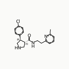 Cc1cccc(CCNC(=O)[C@@H]2CNC[C@H]2c2ccc(Cl)cc2)n1